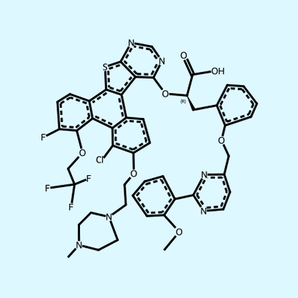 COc1ccccc1-c1nccc(COc2ccccc2C[C@@H](Oc2ncnc3sc4c5ccc(F)c(OCC(F)(F)F)c5c5c(Cl)c(OCCN6CCN(C)CC6)ccc5c4c23)C(=O)O)n1